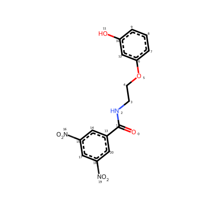 O=C(NCCOc1cccc(O)c1)c1cc([N+](=O)[O-])cc([N+](=O)[O-])c1